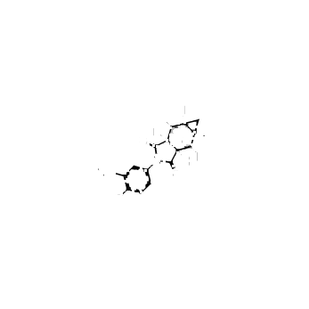 N#Cc1cc(N2C(=O)[C@@H]3[C@@H]4CC[C@@H]([C@H]5C[C@H]54)[C@@H]3C2=O)ccc1F